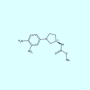 CC(C)(C)OC(=O)N[C@@H]1CCN(c2ccc(N)c([N+](=O)[O-])c2)C1